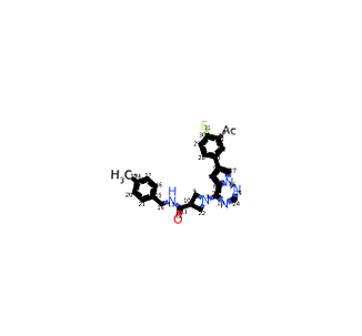 CC(=O)c1cc(-c2cc3c(N4CC(C(=O)NCc5ccc(C)cc5)C4)ncnn3c2)ccc1F